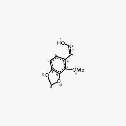 COc1c(/C=N\O)ccc2c1OCO2